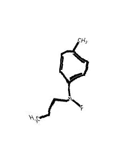 CCCN(F)c1ccc(C)cc1